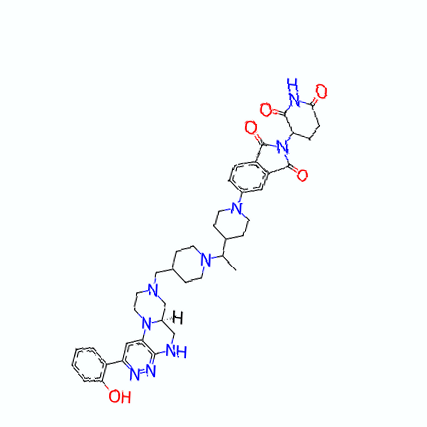 CC(C1CCN(c2ccc3c(c2)C(=O)N(C2CCC(=O)NC2=O)C3=O)CC1)N1CCC(CN2CCN3c4cc(-c5ccccc5O)nnc4NC[C@@H]3C2)CC1